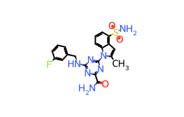 Cc1cc2c(S(N)(=O)=O)cccc2n1-c1nc(NCc2cccc(F)c2)nc(C(N)=O)n1